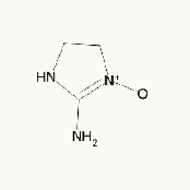 NC1=[N+]([O-])CCN1